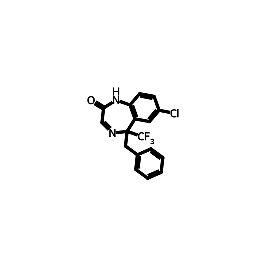 O=C1C=NC(Cc2ccccc2)(C(F)(F)F)c2cc(Cl)ccc2N1